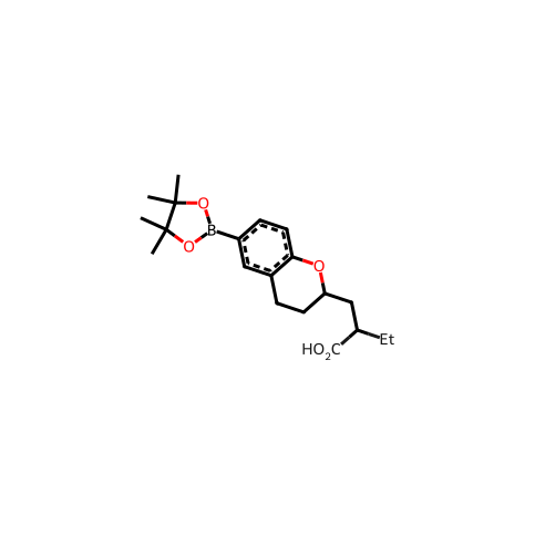 CCC(CC1CCc2cc(B3OC(C)(C)C(C)(C)O3)ccc2O1)C(=O)O